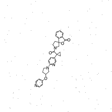 O=C1OC2(CCN(C(=O)C3(c4ccc(N5CCC(Oc6ccncc6)C5)nc4)CC3)C2)c2ccccc21